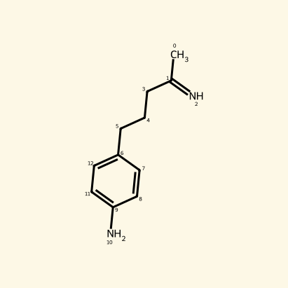 CC(=N)CCCc1ccc(N)cc1